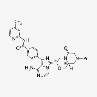 CC(C)N1CC(=O)N2C[C@H](c3nc(-c4ccc(C(=O)Nc5cc(C(F)(F)F)ccn5)cc4)c4c(N)nccn34)OC[C@H]2C1